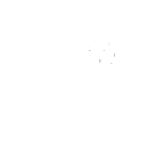 CCCC1CCC(C#Cc2ccc(OC(F)(F)C(F)C(F)(F)F)cc2)CC1